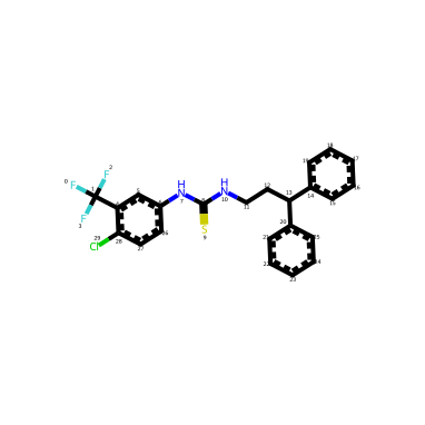 FC(F)(F)c1cc(NC(=S)NCCC(c2ccccc2)c2ccccc2)ccc1Cl